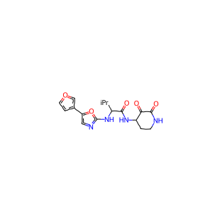 CC(C)C(Nc1ncc(-c2ccoc2)o1)C(=O)NC1CCNC(=O)C1=O